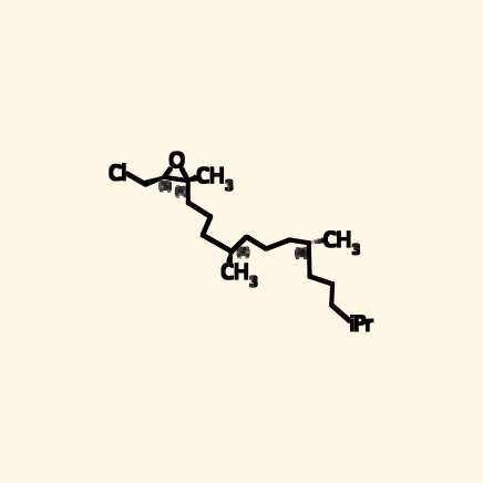 CC(C)CCC[C@@H](C)CCC[C@@H](C)CCC[C@@]1(C)O[C@@H]1CCl